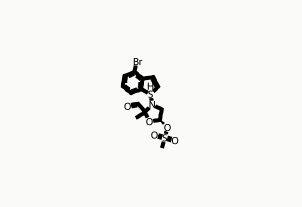 CC1(C=O)O[C@H](OS(C)(=O)=O)CN1[SH]1C=Cc2c(Br)cccc21